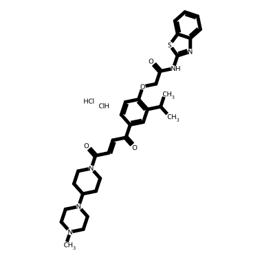 CC(C)c1cc(C(=O)C=CC(=O)N2CCC(N3CCN(C)CC3)CC2)ccc1OCC(=O)Nc1nc2ccccc2s1.Cl.Cl